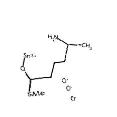 CSC(CCCC(C)N)[O][Sn+3].[Cl-].[Cl-].[Cl-]